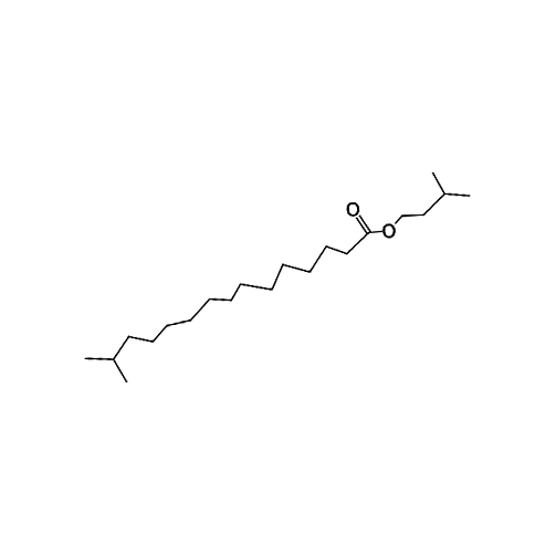 CC(C)CCCCCCCCCCCCC(=O)OCCC(C)C